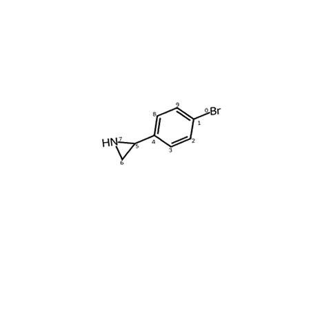 Brc1ccc(C2CN2)cc1